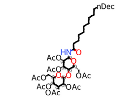 CCCCCCCCCCCCCCCCCCCC(=O)N[C@@H]1O[C@H](COC(C)=O)[C@@H](O[C@@H]2O[C@H](COC(C)=O)[C@@H](OC(C)=O)[C@H](OC(C)=O)[C@@H]2OC(C)=O)[C@H](OC(C)=O)[C@@H]1OC(C)=O